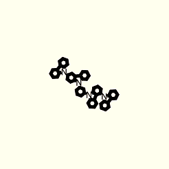 c1cc(-n2c3ccccc3c3cc(-n4c5ccccc5c5ccccc54)ccc32)cc(-n2c3ccccc3c3c(-n4c5ccccc5c5ccccc54)cccc32)c1